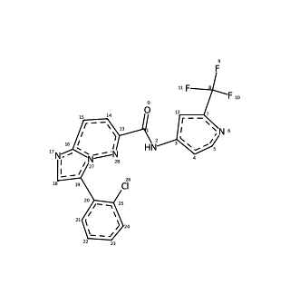 O=C(Nc1ccnc(C(F)(F)F)c1)c1ccc2ncc(-c3ccccc3Cl)n2n1